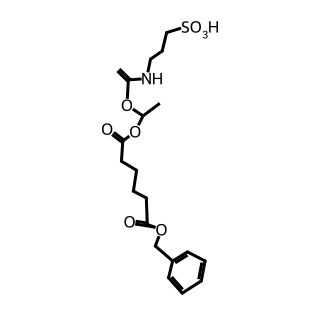 C=C(NCCCS(=O)(=O)O)OC(C)OC(=O)CCCCC(=O)OCc1ccccc1